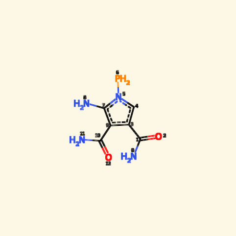 NC(=O)c1cn(P)c(N)c1C(N)=O